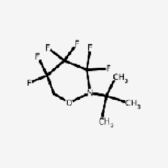 CC(C)(C)N1OCC(F)(F)C(F)(F)C1(F)F